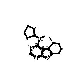 C[C@H]1CCCc2sc3ncnc(N(C)C4CCCC4)c3c21